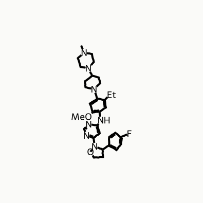 CCc1cc(Nc2cc(N3OCCC3c3ccc(F)cc3)ncn2)c(OC)cc1N1CCC(N2CCN(C)CC2)CC1